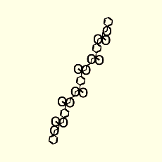 O=C(COc1ccccc1)Oc1ccc(C(=O)OCCOC(=O)c2ccc(C(=O)OCCOC(=O)c3ccc(OC(=O)COc4ccccc4)cc3)cc2)cc1